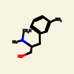 CC(C)(C)N(C(=O)O)[C@H](CO)Cc1cccc([N+](=O)[O-])c1